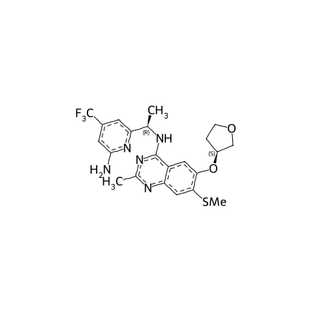 CSc1cc2nc(C)nc(N[C@H](C)c3cc(C(F)(F)F)cc(N)n3)c2cc1O[C@H]1CCOC1